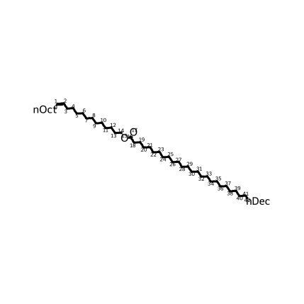 CCCCCCCC/C=C\CCCCCCCCCCCCOC(=O)CCCCCCCCCCCCCCCCCCCCCCCCCCCCCCCCCC